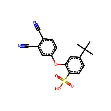 CC(C)(C)c1ccc(S(=O)(=O)O)c(Oc2ccc(C#N)c(C#N)c2)c1